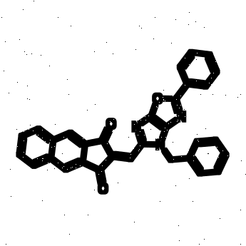 O=C1C(=Cc2nc3oc(-c4ccccc4)nc3n2Cc2ccccc2)C(=O)c2cc3ccccc3cc21